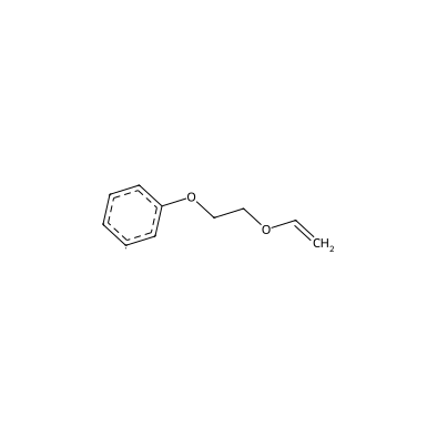 C=COCCOc1c[c]ccc1